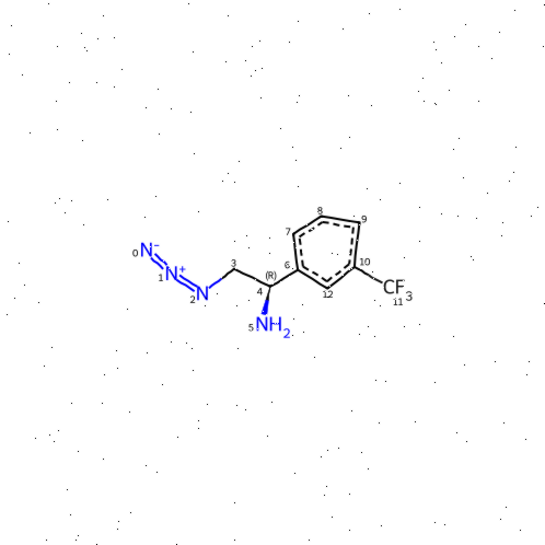 [N-]=[N+]=NC[C@H](N)c1cccc(C(F)(F)F)c1